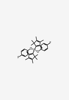 CC1=C(C)C(C)(C)[C]([Zr]([O]c2ccc(F)cc2)([O]c2ccc(F)cc2)[C]2=C(C)C(C)=C(C)C2(C)C)=C1C